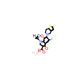 BOC(=O)c1cn(C2CC2)c2c(OC)c(N3CCc4sccc4C3)c(F)cc2c1=O